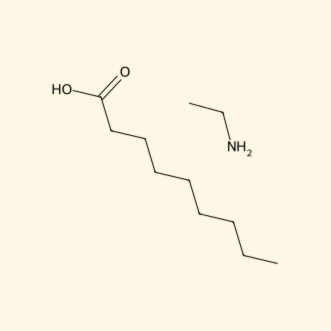 CCCCCCCCC(=O)O.CCN